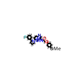 COc1ccc(OCC(=O)Nc2cnc3ccc(N4CCCC4c4cccc(F)c4)nn23)cc1